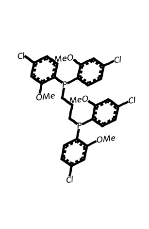 COc1cc(Cl)ccc1P(CCCP(c1ccc(Cl)cc1OC)c1ccc(Cl)cc1OC)c1ccc(Cl)cc1OC